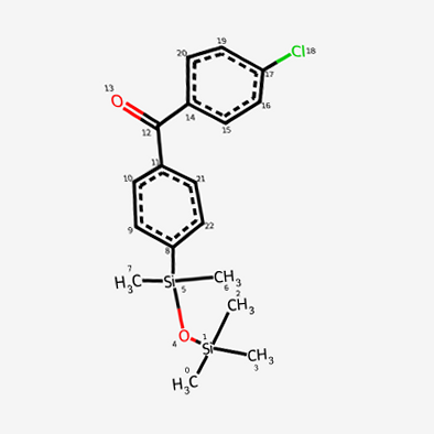 C[Si](C)(C)O[Si](C)(C)c1ccc(C(=O)c2ccc(Cl)cc2)cc1